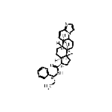 CC[C@@H](NC(=O)[C@@H]1CC[C@H]2[C@@H]3CCC4[C@H](C=Cc5nccn54)[C@H]3CC[C@@H]21)c1ccccc1